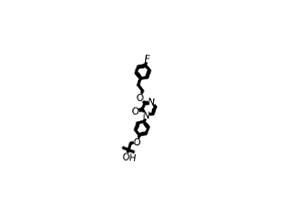 CC(C)(O)COc1ccc(-n2ccnc(OCCc3ccc(F)cc3)c2=O)cc1